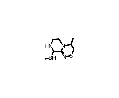 CBC1NCCN2C1=NSCC2C